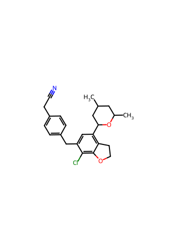 CC1CC(C)OC(c2cc(Cc3ccc(CC#N)cc3)c(Cl)c3c2CCO3)C1